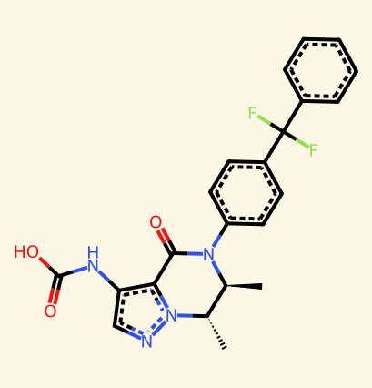 C[C@H]1[C@H](C)n2ncc(NC(=O)O)c2C(=O)N1c1ccc(C(F)(F)c2ccccc2)cc1